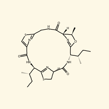 CC[C@H](C)[C@@H]1NC(=O)[C@H]2CSC(=N2)[C@@H]([C@@H](C)CC)NC(=O)c2csc(n2)CNC(=O)[C@H]2N=C1O[C@@H]2C